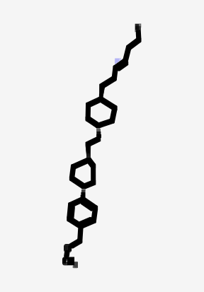 COCc1ccc([C@H]2CC[C@H](CC[C@H]3CC[C@H](CC/C=C/CCF)CC3)CC2)cc1